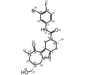 C[C@@H]1Cc2nn3c(c2CN1C(=O)Nc1ccc(F)c(Br)c1)C(=O)N(C)C[C@@H](CO)C3